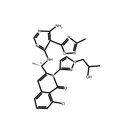 Cc1noc(-c2c(N)ncnc2N[C@@H](C)c2cc3cccc(Cl)c3c(=O)n2-c2ccn(CC(C)O)n2)n1